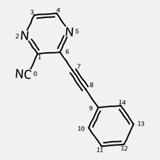 N#Cc1nccnc1C#Cc1ccccc1